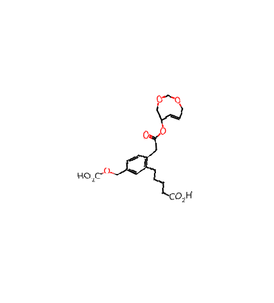 O=C(O)CCCCc1cc(COC(=O)O)ccc1CC(=O)OC1/C=C/COCOC1